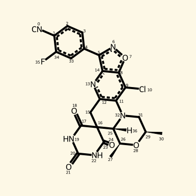 [C-]#[N+]c1ccc(-c2noc3c(Cl)c4c(nc23)CC2(C(=O)NC(=O)NC2=O)[C@H]2[C@H](C)O[C@H](C)CN42)cc1F